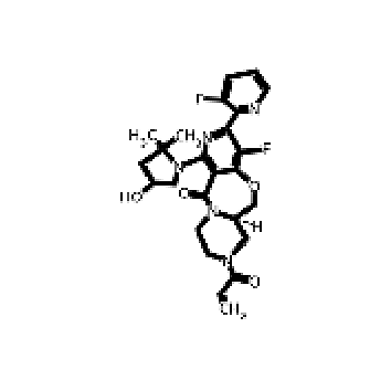 C=CC(=O)N1CCN2C(=O)c3c(N4CC(O)CC4(C)C)nc(-c4ncccc4F)c(F)c3OC[C@H]2C1